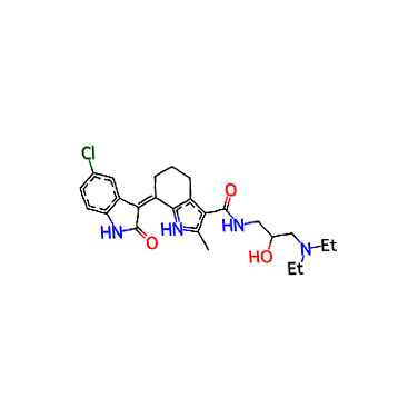 CCN(CC)CC(O)CNC(=O)c1c(C)[nH]c2c1CCC/C2=C1/C(=O)Nc2ccc(Cl)cc21